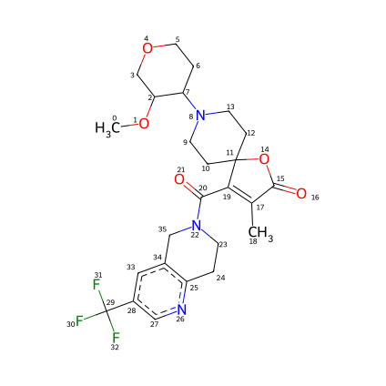 COC1COCCC1N1CCC2(CC1)OC(=O)C(C)=C2C(=O)N1CCc2ncc(C(F)(F)F)cc2C1